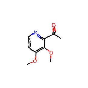 COc1ccnc(C(C)=O)c1OC